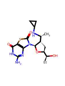 CC[C@H](O)[C@@H]1C[C@@H]([C@@H](C)NC2CC2)[C@H](n2c(=O)sc3c(=O)[nH]c(N)nc32)O1